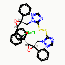 Clc1ccccc1[C@H]1O[C@]1(Cn1ncnc1SSc1ncnn1C[C@]1(c2ccccc2)O[C@@H]1c1ccccc1Cl)c1ccccc1